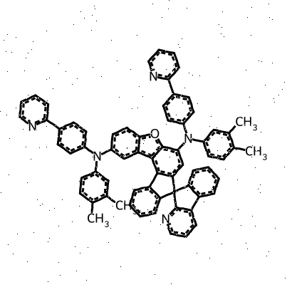 Cc1ccc(N(c2ccc(-c3ccccn3)cc2)c2ccc3oc4c(N(c5ccc(-c6ccccn6)cc5)c5ccc(C)c(C)c5)cc5c(c4c3c2)-c2ccccc2C52c3ccccc3-c3cccnc32)cc1C